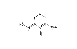 COC1=C(Br)C(=NO)CCC1